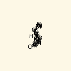 O=C(CCn1cnnn1)N1CCC(O)(Cn2cnc3c(cnn3-c3ccc(Cl)cc3)c2=O)CC1